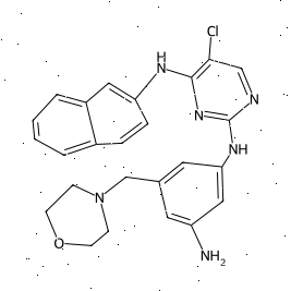 Nc1cc(CN2CCOCC2)cc(Nc2ncc(Cl)c(Nc3ccc4ccccc4c3)n2)c1